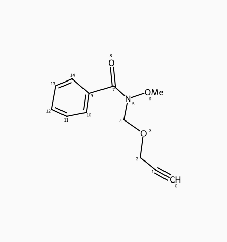 C#CCOCN(OC)C(=O)c1ccccc1